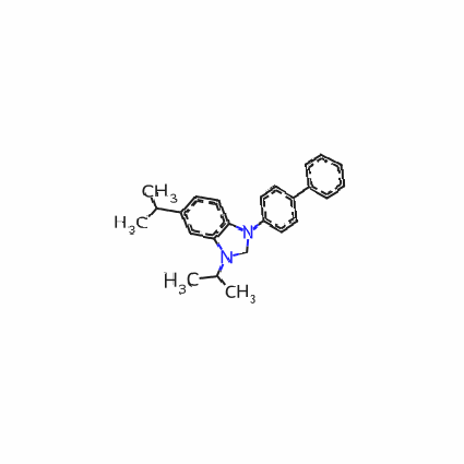 CC(C)c1ccc2c(c1)N(C(C)C)CN2c1ccc(-c2ccccc2)cc1